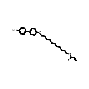 C=CC(=O)OCCCCCCCCCCCOc1ccc(-c2ccc(C#N)cc2)cc1